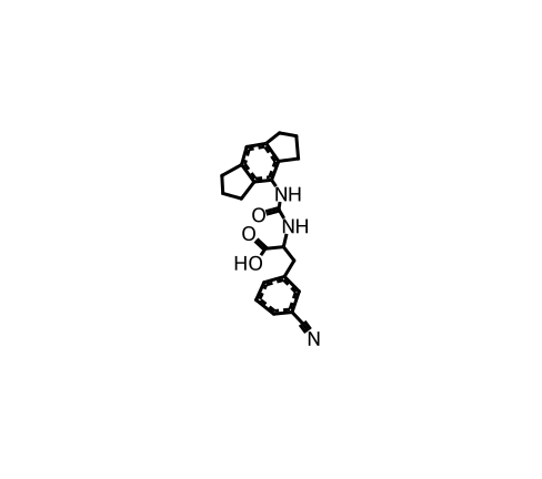 N#Cc1cccc(CC(NC(=O)Nc2c3c(cc4c2CCC4)CCC3)C(=O)O)c1